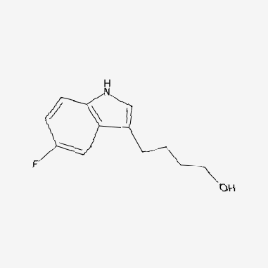 OCCCCc1c[nH]c2ccc(F)cc12